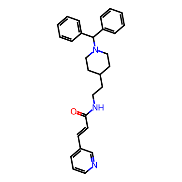 O=C(C=Cc1cccnc1)NCCC1CCN(C(c2ccccc2)c2ccccc2)CC1